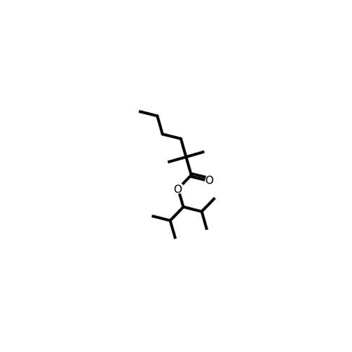 CCCCC(C)(C)C(=O)OC(C(C)C)C(C)C